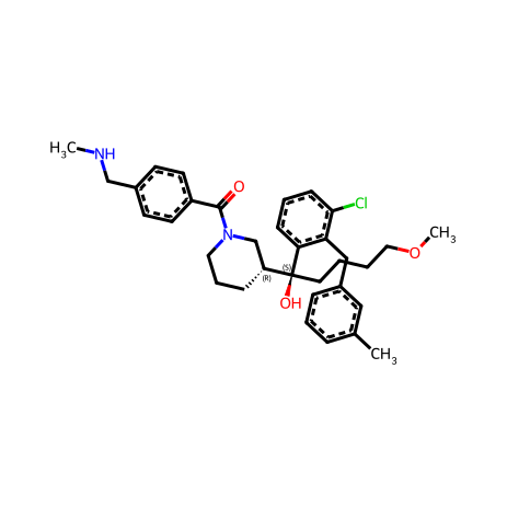 CNCc1ccc(C(=O)N2CCC[C@@H]([C@@](O)(CCCCOC)c3cccc(Cl)c3Cc3cccc(C)c3)C2)cc1